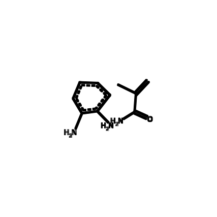 C=C(C)C(N)=O.Nc1ccccc1N